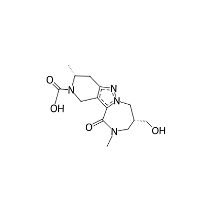 C[C@@H]1Cc2nn3c(c2CN1C(=O)O)C(=O)N(C)C[C@@H](CO)C3